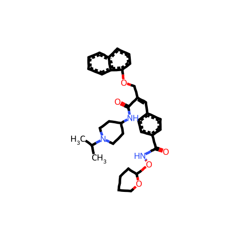 CC(C)N1CCC(NC(=O)C(=Cc2ccc(C(=O)NOC3CCCCO3)cc2)COc2cccc3ccccc23)CC1